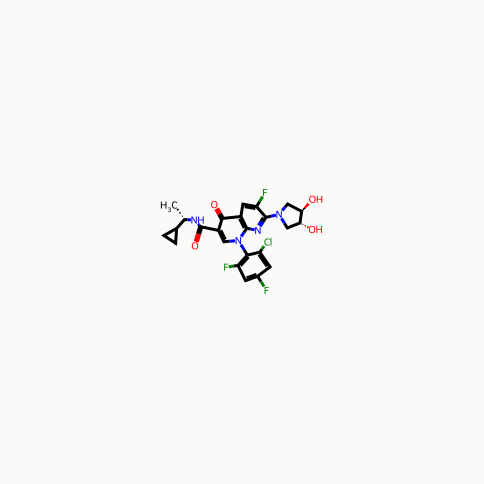 C[C@H](NC(=O)c1cn(-c2c(F)cc(F)cc2Cl)c2nc(N3C[C@@H](O)[C@H](O)C3)c(F)cc2c1=O)C1CC1